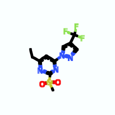 CCc1cc(-n2cc(C(F)(F)F)cn2)nc(S(C)(=O)=O)n1